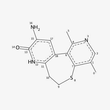 Cc1cnc(C)c2c1SCCc1[nH]c(=O)c(N)cc1-2